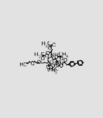 C#CCOCCOCCS[C@]1(C(=O)OC)C[C@H](OC(C)=O)[C@@H](NC(=O)COC(C)=O)[C@H]([C@H](OC(C)=O)[C@@H](CNC(=O)Cc2ccc(-c3ccccc3)cc2)OC(C)=O)O1